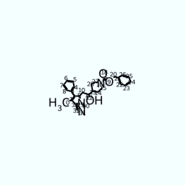 CC1=C(c2ccccc2)C(CC(O)C2CCN(C(=O)OCc3ccccc3)CC2)n2cncc21